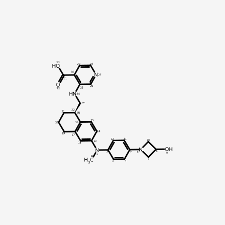 CN(c1ccc(N2CC(O)C2)cc1)c1ccc2c(c1)CCC[C@H]2CNc1cnccc1C(=O)O